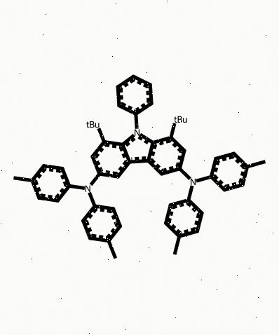 Cc1ccc(N(c2ccc(C)cc2)c2cc(C(C)(C)C)c3c(c2)c2cc(N(c4ccc(C)cc4)c4ccc(C)cc4)cc(C(C)(C)C)c2n3-c2ccccc2)cc1